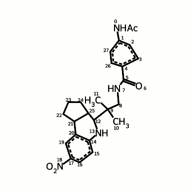 CC(=O)Nc1ccc(C(=O)NCC(C)(C)C2Nc3ccc([N+](=O)[O-])cc3C3CCCC32)cc1